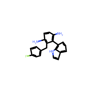 Nc1ccc(N)c(-c2cccc3cc[nH]c23)c1Cc1ccc(F)cc1